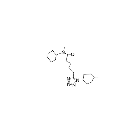 CC1CCC(n2nnnc2CCCCC(=O)N(C)C2CCCCC2)CC1